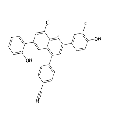 N#Cc1ccc(-c2cc(-c3ccc(O)c(F)c3)nc3c(Cl)cc(-c4ccccc4O)cc23)cc1